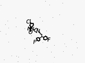 Cn1c(=O)n(C2CCN(CCCC(c3ccc(F)cc3)c3ccc(F)cc3)CC2)c2ccc(Cl)cc21